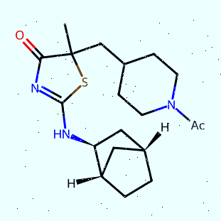 CC(=O)N1CCC(CC2(C)SC(N[C@H]3C[C@@H]4CC[C@H]3C4)=NC2=O)CC1